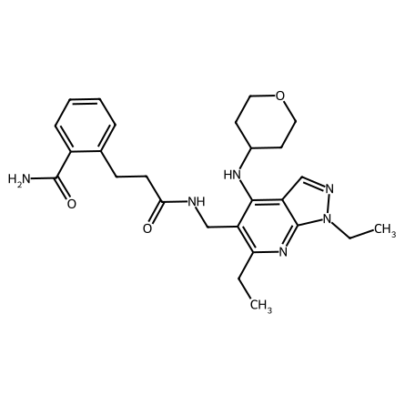 CCc1nc2c(cnn2CC)c(NC2CCOCC2)c1CNC(=O)CCc1ccccc1C(N)=O